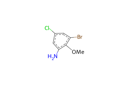 COc1c(N)cc(Cl)cc1Br